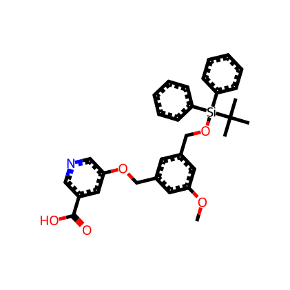 COc1cc(COc2cncc(C(=O)O)c2)cc(CO[Si](c2ccccc2)(c2ccccc2)C(C)(C)C)c1